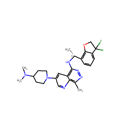 Cc1nnc(N[C@H](C)c2cccc3c2OCC3(F)F)c2cc(N3CCC(N(C)C)CC3)cnc12